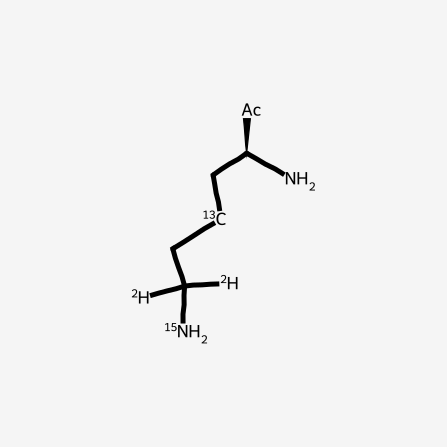 [2H]C([2H])([15NH2])C[13CH2]C[C@H](N)C(C)=O